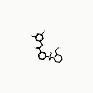 O=C(Nc1cc(F)cc(F)c1)c1cccc(S(=O)(=O)N2CCCCC2CO)c1